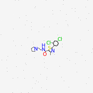 Cc1nc(-c2ccc(Cl)cc2Cl)sc1C(=O)NCCN1CCCC1